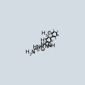 Cc1ccccc1-c1ccc2c(NC(=O)NCCN)n[nH]c2c1